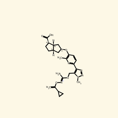 C=C(O/N=C(\N)OCc1c(-c2ccc(O[C@H]3C[C@@H]4CC[C@@H](C(=O)O)[C@@H]4C3)c(C)n2)nnn1C)C1CC1